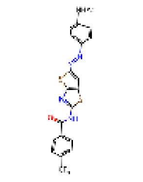 CC(=O)Nc1ccc(N=Nc2cc3sc(NC(=O)c4ccc(C(F)(F)F)cc4)nc3s2)cc1